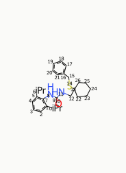 CC(C)c1cccc(C(C)C)c1NC(=O)NCC1(SCc2ccccc2)CCCCC1